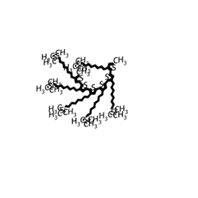 Cc1cc(CCCCCCCC[Si](C)(C)C)c(-c2cc(CCCCCCCC[Si](C)(C)C)c(-c3cc(CCCCCCCC[Si](C)(C)C)c(-c4cc(CCCCCCCC[Si](C)(C)C)c(-c5cc(CCCCCCCC[Si](C)(C)C)c(-c6cc(CCCCCCCC[Si](C)(C)C)c(C)s6)s5)s4)s3)s2)s1